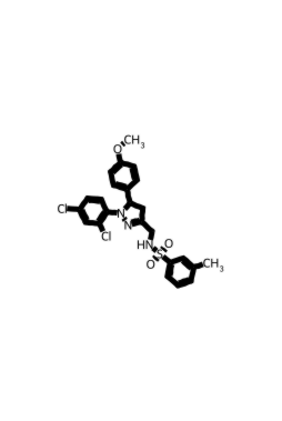 COc1ccc(C2CC(CNS(=O)(=O)c3cccc(C)c3)=NN2c2ccc(Cl)cc2Cl)cc1